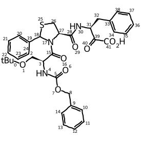 CC(C)(C)OC[C@H](NC(=O)OCc1ccccc1)C(=O)N1C(c2ccccc2)SC[C@H]1C(=O)N[C@@H](Cc1ccccc1)C(=O)C(=O)O